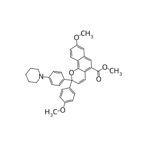 COC(=O)c1cc2cc(OC)ccc2c2c1C=CC(c1ccc(OC)cc1)(c1ccc(N3CCCCC3)cc1)O2